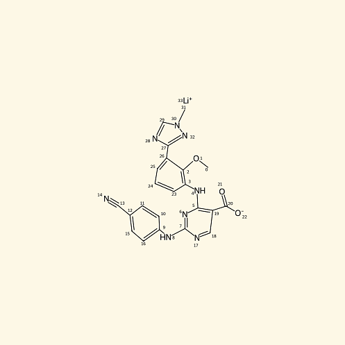 COc1c(Nc2nc(Nc3ccc(C#N)cc3)ncc2C(=O)[O-])cccc1-c1ncn(C)n1.[Li+]